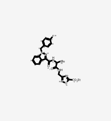 CCOC(=O)c1nc(CNC(=O)C(NC(=O)c2nn(Cc3ccc(F)cc3)c3ccccc23)C(C)(C)C)no1